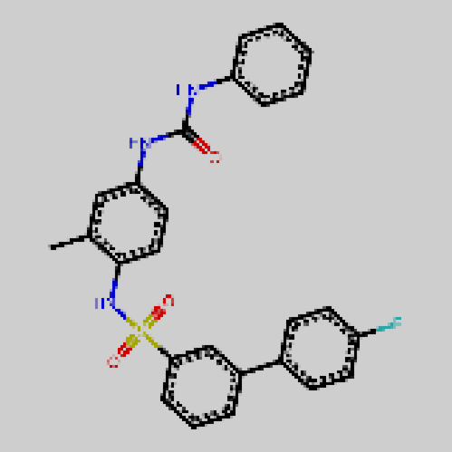 Cc1cc(NC(=O)Nc2ccccc2)ccc1NS(=O)(=O)c1cccc(-c2ccc(F)cc2)c1